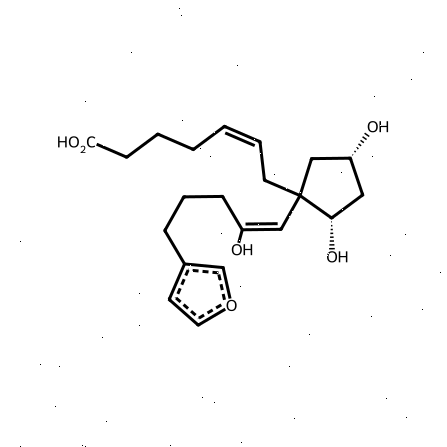 O=C(O)CCC/C=C\CC1(/C=C(/O)CCCc2ccoc2)C[C@H](O)C[C@@H]1O